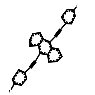 Fc1ccc(C#Cc2c3ccccc3c(C#Cc3ccc(F)cc3)c3ccccc23)cc1